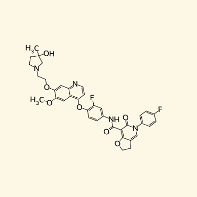 COc1cc2c(Oc3ccc(NC(=O)c4c5c(cn(-c6ccc(F)cc6)c4=O)CCO5)cc3F)ccnc2cc1OCCN1CCC(C)(O)C1